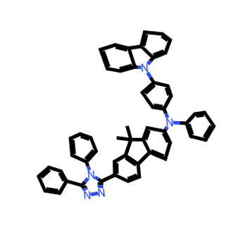 CC1(C)c2cc(-c3nnc(-c4ccccc4)n3-c3ccccc3)ccc2-c2ccc(N(c3ccccc3)c3ccc(-n4c5ccccc5c5ccccc54)cc3)cc21